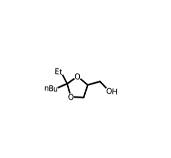 CCCCC1(CC)OCC(CO)O1